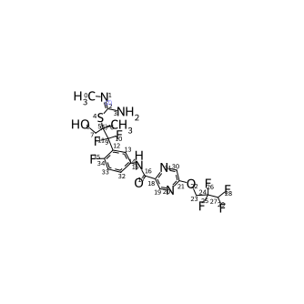 C/N=C(/N)S[C@@](C)(CO)C(F)(F)c1cc(NC(=O)c2cnc(OCC(F)(F)C(F)F)cn2)ccc1F